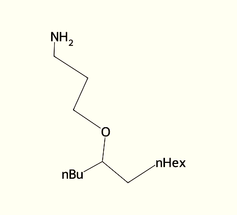 CCCCCCCC(CCCC)OCCCN